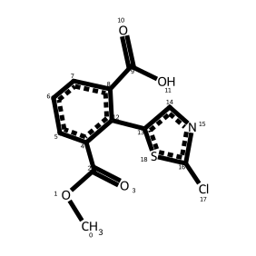 COC(=O)c1cccc(C(=O)O)c1-c1cnc(Cl)s1